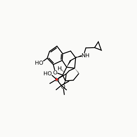 CC[C@]12c3c4ccc(O)c3O[C@H]1[C@@]1(OC)CC[C@@]2(C[C@@H]1C(C)(O)C(C)(C)C)[C@H](NCC1CC1)C4